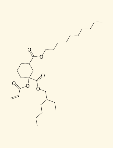 C=CC(=O)OC1(C(=O)OCC(CC)CCCC)CCCC(C(=O)OCCCCCCCCCC)C1